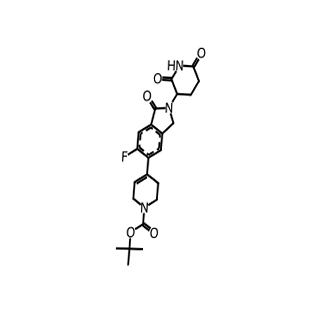 CC(C)(C)OC(=O)N1CC=C(c2cc3c(cc2F)C(=O)N(C2CCC(=O)NC2=O)C3)CC1